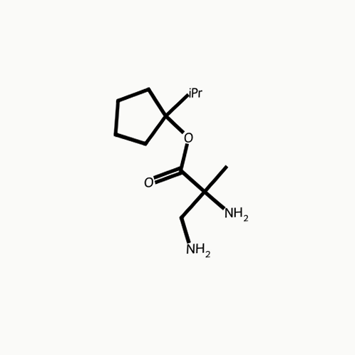 CC(C)C1(OC(=O)C(C)(N)CN)CCCC1